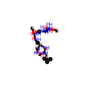 CC(C)C1NC(=O)[C@]2(C)CSC(=N2)c2nc(sc2-c2ccc(CNC(=O)CC[C@H](NC(=O)c3ccc(NCc4cnc5nc(NC(=O)OCC[Si](C)(C)C)[nH]c(=O)c5n4)cc3)C(=O)OCC[Si](C)(C)C)cc2)CNC(=O)CC(/C=C/CCSC(c2ccccc2)(c2ccccc2)c2ccccc2)NC1=O